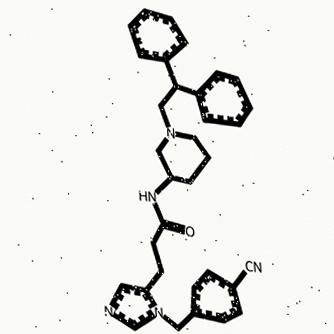 N#Cc1ccc(Cn2cncc2CCC(=O)NC2CCCN(CC(c3ccccc3)c3ccccc3)C2)cc1